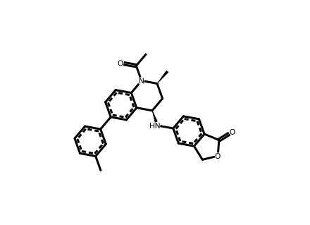 CC(=O)N1c2ccc(-c3cccc(C)c3)cc2[C@H](Nc2ccc3c(c2)COC3=O)C[C@@H]1C